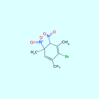 CC1=CC(C)([N+](=O)[O-])C([N+](=O)[O-])C(C)=C1Br